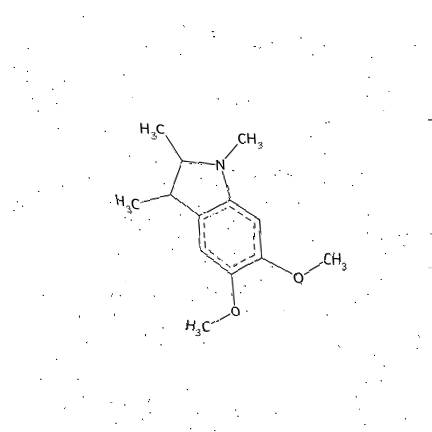 COc1cc2c(cc1OC)N(C)C(C)C2C